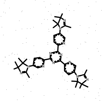 CC1=NC(C)(C)C(C)(C)N1c1ccc(-c2nc(-c3ccc(N4C(C)=NC(C)(C)C4(C)C)cn3)nc(-c3ccc(N4C(C)=NC(C)(C)C4(C)C)cn3)n2)nc1